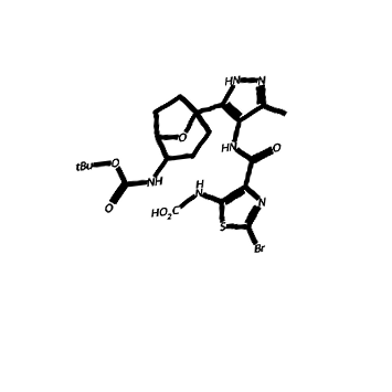 Cc1n[nH]c(C23CCC(NC(=O)OC(C)(C)C)C(CC2)O3)c1NC(=O)c1nc(Br)sc1NC(=O)O